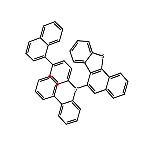 c1ccc(-c2ccccc2N(c2ccc(-c3cccc4ccccc34)cc2)c2cc3ccccc3c3sc4ccccc4c23)cc1